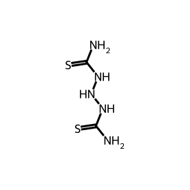 NC(=S)NNNC(N)=S